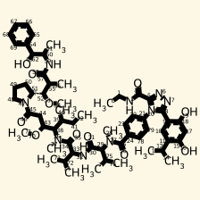 CCNC(=O)c1nnc(-c2cc(C(C)C)c(O)cc2O)n1-c1ccc(C(=O)N(C)C(C(=O)NC(C(=O)N(C)C(C(C)CC)C(CC(=O)N2CCC[C@@H]2C(OC)C(C)C(=O)NC(C)C(O)c2ccccc2)OC)C(C)C)C(C)C)cc1